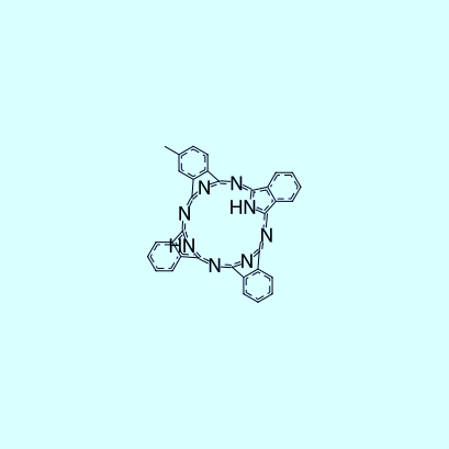 Cc1ccc2c(c1)-c1nc-2nc2[nH]c(nc3nc(nc4[nH]c(n1)c1ccccc41)-c1ccccc1-3)c1ccccc21